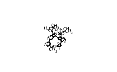 CN(C)c1cncc(-c2cc3c(-c4cc5c(-c6cccs6)nccc5n4C(=O)OC(C)(C)C)nn(C(=O)OC(C)(C)C)c3cn2)c1